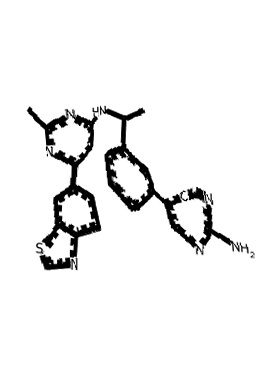 Cc1nc(NC(C)c2cccc(-c3cnc(N)nc3)c2)cc(-c2ccc3ncsc3c2)n1